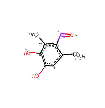 O=Ic1c(C(=O)O)cc(O)c(O)c1C(=O)O